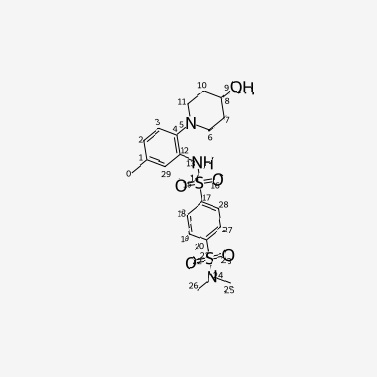 Cc1ccc(N2CCC(O)CC2)c(NS(=O)(=O)c2ccc(S(=O)(=O)N(C)C)cc2)c1